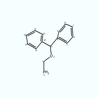 PCOC(c1ccccc1)c1ccccc1